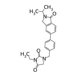 CCN1C(=O)CN(Cc2ccc(-c3ccc4c(c3)CN(C(C)C)C4=O)cc2)C1=O